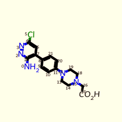 Nc1nnc(Cl)cc1-c1ccc(N2CCN(CC(=O)O)CC2)cc1